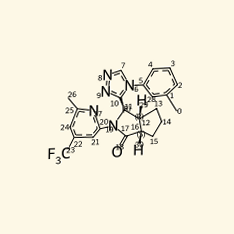 Cc1cccc(-n2cnnc2[C@H]2[C@@H]3CCC[C@@H]3C(=O)N2c2cc(C(F)(F)F)cc(C)n2)c1